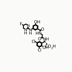 O=C(O)C[C@@H](NC(=O)CNC(=O)c1cc(O)cc(NC2=NCC(F)CN2)c1)c1cc(Cl)cc(Cl)c1O